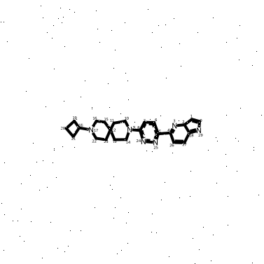 C1=CC2N=C(c3ccc(N4CCC5(CC4)CCN(C4CCC4)CC5)nn3)C=CC2=N1